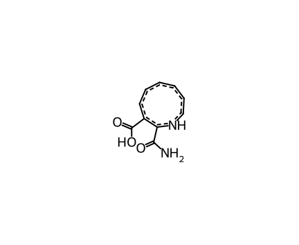 NC(=O)c1[nH]ccccccc1C(=O)O